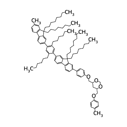 CCCCCCCCC1(CCCCCCCC)c2cc(C)ccc2-c2ccc(-c3cc(CCCCCC)c(-c4ccc5c(c4)C(CCCCCCCC)(CCCCCCCC)c4cc(-c6ccc(OCC7CC(COc8ccc(C)cc8)OCO7)cc6)ccc4-5)cc3CCCCCC)cc21